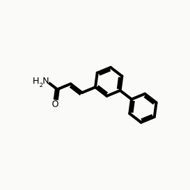 NC(=O)/C=C/c1cccc(-c2ccccc2)c1